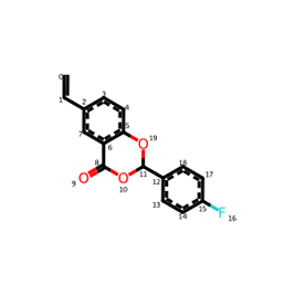 C=Cc1ccc2c(c1)C(=O)OC(c1ccc(F)cc1)O2